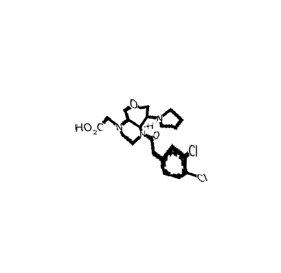 O=C(O)CN1CCN(C(=O)Cc2ccc(Cl)c(Cl)c2)[C@@H]2C(N3CCCC3)COCC21